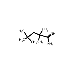 CC(C)(C)CC(C)(C)C(=N)N